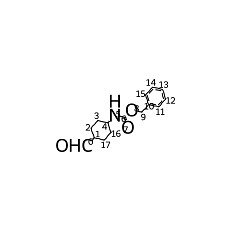 O=C[C@H]1CC[C@@H](NC(=O)OCc2ccccc2)CC1